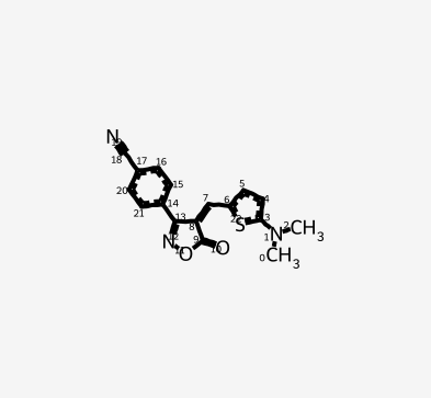 CN(C)c1ccc(/C=C2\C(=O)ON=C2c2ccc(C#N)cc2)s1